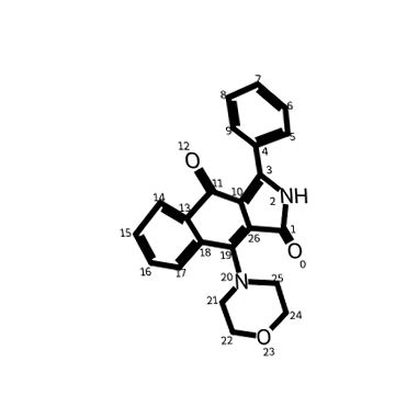 O=C1NC(c2ccccc2)=C2C(=O)c3ccccc3C(N3CCOCC3)=C12